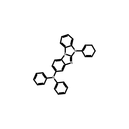 C1=CC(n2c3ccccc3n3c4ccc(N(c5ccccc5)c5ccccc5)cc4nc23)=CCC1